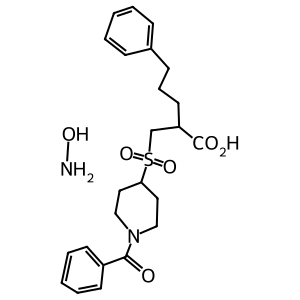 NO.O=C(O)C(CCCc1ccccc1)CS(=O)(=O)C1CCN(C(=O)c2ccccc2)CC1